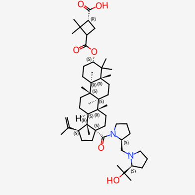 C=C(C)[C@@H]1CC[C@]2(C(=O)N3CCC[C@H]3CN3CCC[C@H]3C(C)(C)O)CC[C@]3(C)[C@H](CC[C@]4(C)[C@@]5(C)CC[C@H](OC(=O)C6C[C@@H](C(=O)O)C6(C)C)C(C)(C)[C@]5(C)CC[C@]43C)[C@@]12C